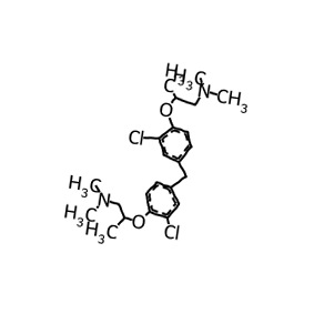 CC(CN(C)C)Oc1ccc(Cc2ccc(OC(C)CN(C)C)c(Cl)c2)cc1Cl